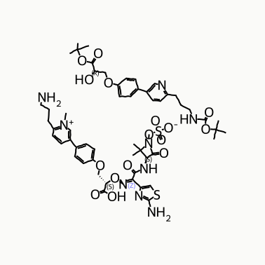 CC(C)(C)OC(=O)NCCCc1ccc(-c2ccc(OC[C@@H](O)C(=O)OC(C)(C)C)cc2)cn1.C[n+]1cc(-c2ccc(OC[C@H](O/N=C(\C(=O)N[C@@H]3C(=O)N(OS(=O)(=O)[O-])C3(C)C)c3csc(N)n3)C(=O)O)cc2)ccc1CCCN